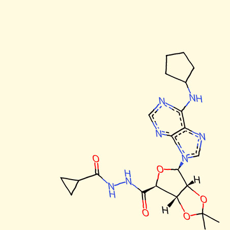 CC1(C)O[C@@H]2[C@H](O1)[C@@H](C(=O)NNC(=O)C1CC1)O[C@H]2n1cnc2c(NC3CCCC3)ncnc21